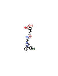 O=C(C=CC=Cc1ccc(O)c(O)c1)NCCCCN1CCN(C(c2ccccc2)c2ccc(Cl)cc2)CC1